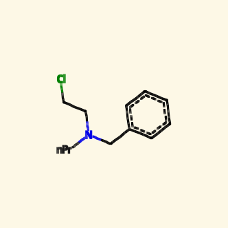 CCCN(CCCl)Cc1ccccc1